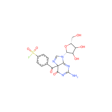 NC1=NC(=O)C2(C(=O)c3ccc(S(=O)(=O)F)cc3)N=CN([C@@H]3O[C@H](CO)C(O)C3O)C2=N1